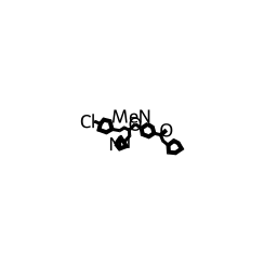 CNc1cc(C(=O)Cc2ccccc2)ccc1OC(CCc1ccc(Cl)cc1)Cn1ccnc1